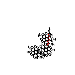 CCCCCCCCCCOC(=O)c1c(C(=O)O)c(C(=O)O)c(C(=O)O)c(C(=O)OC(=O)c2c(C(=O)O)c(C(=O)O)c(C(=O)O)c(C(=O)O)c2C(=O)O)c1C(=O)OC(=O)c1c(C(=O)O)c(C(=O)O)c(C(=O)O)c(C(=O)O)c1C(=O)O